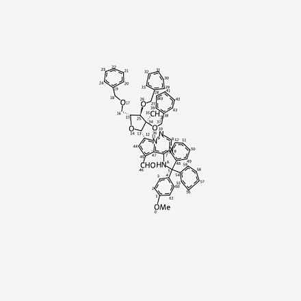 COc1ccc(C(Nc2ncnn3c([C@@H]4O[C@H](COCc5ccccc5)[C@@H](OCc5ccccc5)[C@@]4(C)OCc4ccccc4)cc(C=O)c23)(c2ccccc2)c2ccccc2)cc1